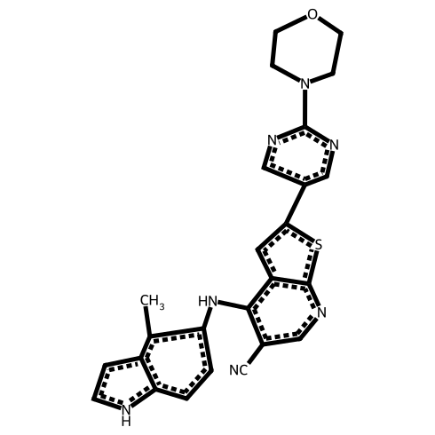 Cc1c(Nc2c(C#N)cnc3sc(-c4cnc(N5CCOCC5)nc4)cc23)ccc2[nH]ccc12